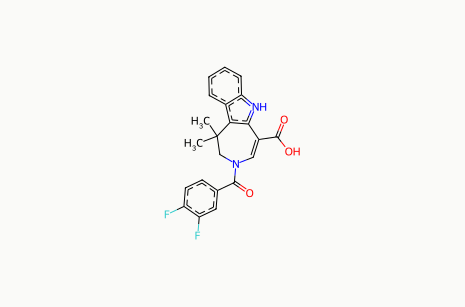 CC1(C)CN(C(=O)c2ccc(F)c(F)c2)C=C(C(=O)O)c2[nH]c3ccccc3c21